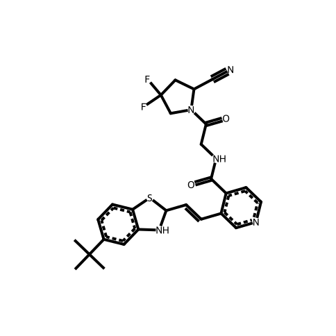 CC(C)(C)c1ccc2c(c1)NC(C=Cc1cnccc1C(=O)NCC(=O)N1CC(F)(F)CC1C#N)S2